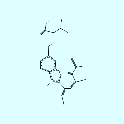 C=C(I)C(=O)/C(C)=C\C(=C/C)c1nc2cc(CN[C@H](C(=O)OCC(C)C)[C@@H](C)O)ccc2n1CC